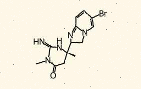 CN1C(=N)N[C@](C)(C2CN3C=C(Br)C=CC3=N2)CC1=O